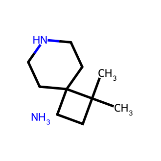 CC1(C)CCC12CCNCC2.N